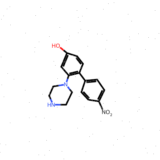 O=[N+]([O-])c1ccc(-c2ccc(O)cc2N2CCNCC2)cc1